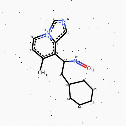 Cc1ccn2cncc2c1C(CC1CCCCC1)N=O